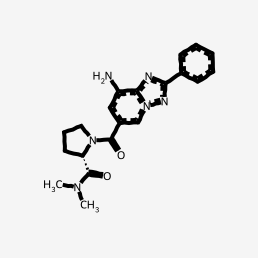 CN(C)C(=O)[C@@H]1CCCN1C(=O)c1cc(N)c2nc(-c3ccccc3)nn2c1